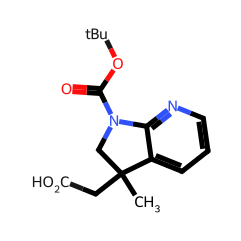 CC(C)(C)OC(=O)N1CC(C)(CC(=O)O)c2cccnc21